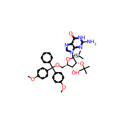 COc1ccc(C(OC[C@H]2O[C@](n3cnc4c(=O)[nH]c(N)nc43)([SiH](C)C)[C@H](OC(C)(C)C)[C@@H]2O)(c2ccccc2)c2ccc(OC)cc2)cc1